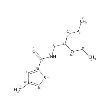 CCOC(CNC(=O)c1cc(C)cs1)OCC